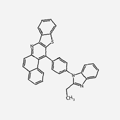 CCc1nc2ccccc2n1-c1ccc(-c2c3sc4ccccc4c3nc3ccc4ccccc4c23)cc1